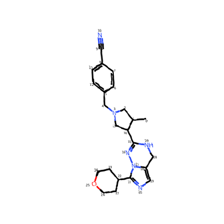 CC1CN(Cc2ccc(C#N)cc2)CC1C1=Nn2c(cnc2C2CCOCC2)CN1